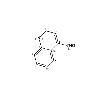 O=CC1=CCNc2ccccc21